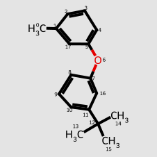 Cc1cccc(Oc2cccc(C(C)(C)C)c2)c1